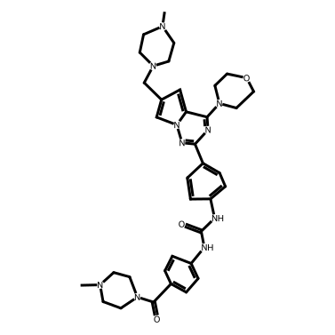 CN1CCN(Cc2cc3c(N4CCOCC4)nc(-c4ccc(NC(=O)Nc5ccc(C(=O)N6CCN(C)CC6)cc5)cc4)nn3c2)CC1